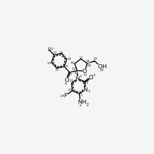 Nc1nc(=O)n([C@@]2(C(=O)c3ccc(I)cc3)CC[C@@H](CO)O2)cc1F